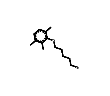 Cc1ccc(C)c(OCCCCCBr)c1C